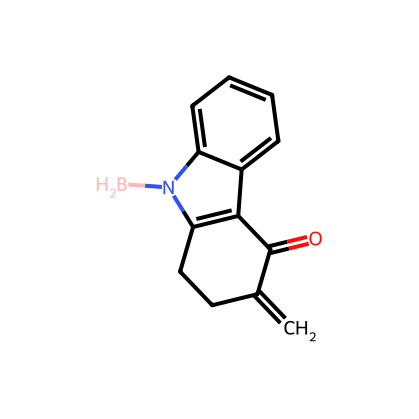 Bn1c2c(c3ccccc31)C(=O)C(=C)CC2